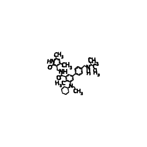 CCN(c1cc(-c2ccc(CNC(C)C)cc2)cc(C(=O)NCc2c(C)cc(C)[nH]c2=O)c1C)C1CCCCC1